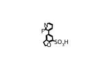 O=S(=O)(O)c1cc(-c2cccnc2F)cc2c1OCC2